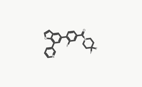 O=C(c1ccc(-c2cc(-c3cccnc3)c3occc3c2)c(F)c1)N1CCC(F)(F)CC1